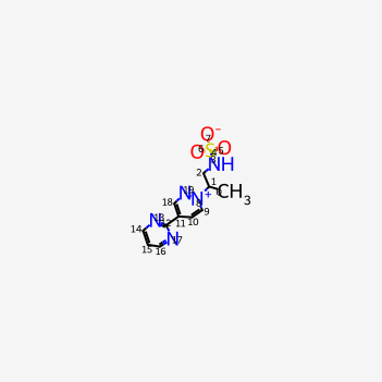 CC(CNS(=O)(=O)[O-])[n+]1ccc(-c2ncccn2)cn1